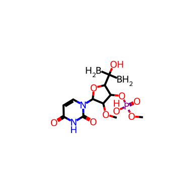 BC(B)(O)C1OC(n2ccc(=O)[nH]c2=O)C(OC)C1OP(=O)(O)OC